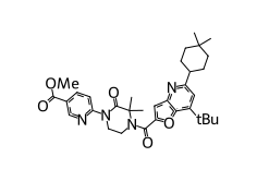 COC(=O)c1ccc(N2CCN(C(=O)c3cc4nc(C5CCC(C)(C)CC5)cc(C(C)(C)C)c4o3)C(C)(C)C2=O)nc1